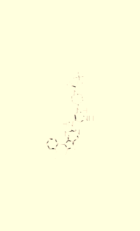 COc1ccccc1-c1c(C)sc2cnc(N/C(C=N)=C/NC3CCN(C(=O)OC(C)(C)C)CC3)nc12